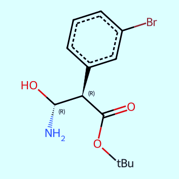 CC(C)(C)OC(=O)[C@H](c1cccc(Br)c1)[C@H](N)O